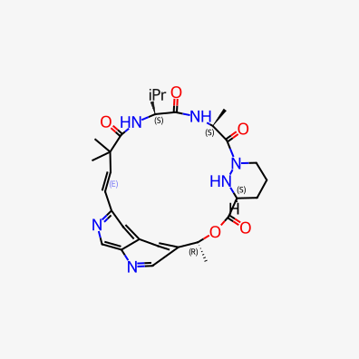 CC(C)[C@@H]1NC(=O)C(C)(C)/C=C/c2cc3cc(cnc3cn2)[C@@H](C)OC(=O)[C@@H]2CCCN(N2)C(=O)[C@H](C)NC1=O